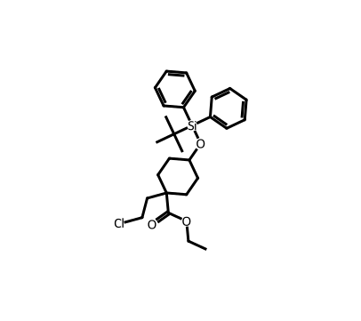 CCOC(=O)C1(CCCl)CCC(O[Si](c2ccccc2)(c2ccccc2)C(C)(C)C)CC1